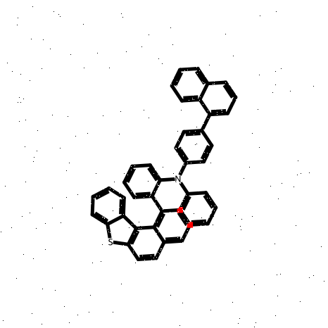 c1ccc(N(c2ccc(-c3cccc4ccccc34)cc2)c2ccccc2-c2cccc3ccc4sc5ccccc5c4c23)cc1